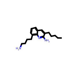 CCCCCc1cc2cccc(CCCCN)c2nc1N